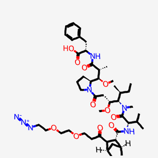 CC[C@H](C)[C@@H]([C@@H](CC(=O)N1CCC[C@H]1[C@H](OC)[C@@H](C)C(=O)N[C@@H](Cc1ccccc1)C(=O)O)OC)N(C)C(=O)[C@@H](NC(=O)[C@H]1C(C(=O)CCOCCOCCN=[N+]=[N-])[C@@H]2CC[C@H]1C2)C(C)C